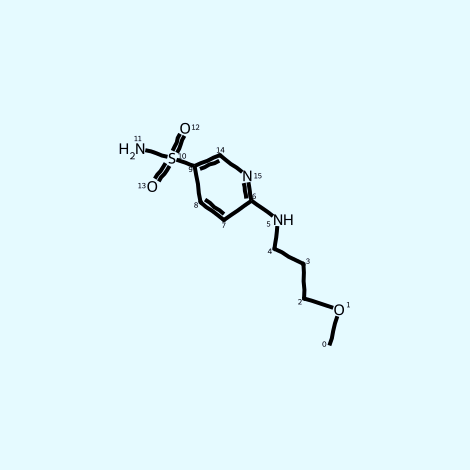 COCCCNc1ccc(S(N)(=O)=O)cn1